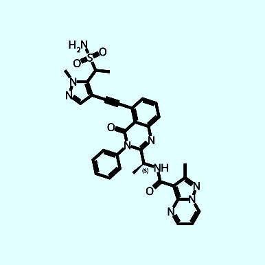 Cc1nn2cccnc2c1C(=O)N[C@@H](C)c1nc2cccc(C#Cc3cnn(C)c3C(C)S(N)(=O)=O)c2c(=O)n1-c1ccccc1